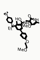 CCN(c1cc(-c2ccc(OCCOC)cc2)cc(C(O)NCc2c(OC)cc(C)[nH]c2=O)c1C)[C@H]1CC[C@H](N(C)C)CC1